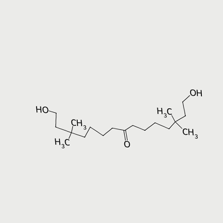 CC(C)(CCO)CCCCC(=O)CCCCC(C)(C)CCO